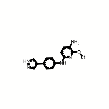 CCOc1nc(Nc2ccc(-c3cn[nH]c3)cc2)ccc1N